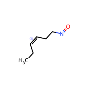 CC/C=C\CCN=O